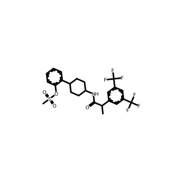 CC(C(=O)NC1CCC(c2ccccc2OS(C)(=O)=O)CC1)c1cc(C(F)(F)F)cc(C(F)(F)F)c1